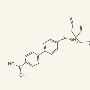 C=CCC(C=C)(CC=C)[SiH2]Oc1ccc(-c2ccc(B(O)O)cc2)cc1